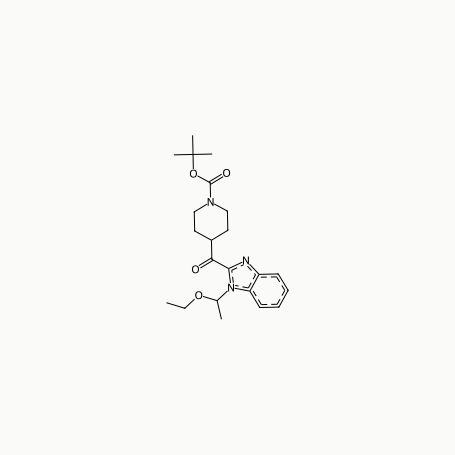 CCOC(C)n1c(C(=O)C2CCN(C(=O)OC(C)(C)C)CC2)nc2ccccc21